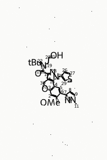 COc1cc2c(cc1-c1ccn(C)n1)-c1c(c(C(=O)N(CCO)C(C)(C)C)nn1-c1ccsc1)CO2